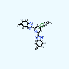 CC1=CC2=NC(c3cccc(C4=NC5C=CC(C)=CC5=N4)n3)=NC2C=C1.[Cl-].[Cl-].[V+2]